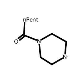 CCCCCC(=O)N1CC[N]CC1